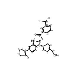 O=C(/N=c1\[nH]c2cc(N3CCOCC3=O)ccc2n1C1CCC(CO)CC1)c1cccc(C(F)F)c1